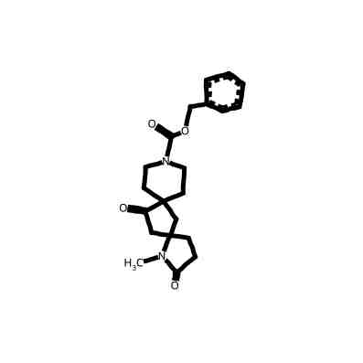 CN1C(=O)CCC12CC(=O)C1(CCN(C(=O)OCc3ccccc3)CC1)C2